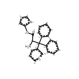 NC(C(=O)Oc1cscn1)C(c1ccccc1)(c1ccccc1)c1ccccc1